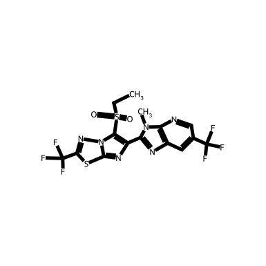 CCS(=O)(=O)c1c(-c2nc3cc(C(F)(F)F)cnc3n2C)nc2sc(C(F)(F)F)nn12